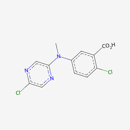 CN(c1ccc(Cl)c(C(=O)O)c1)c1cnc(Cl)cn1